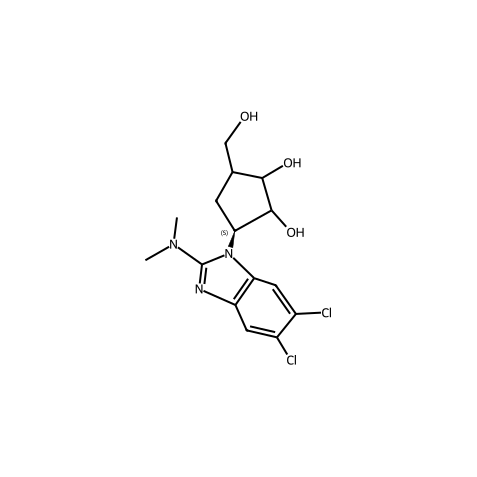 CN(C)c1nc2cc(Cl)c(Cl)cc2n1[C@H]1CC(CO)C(O)C1O